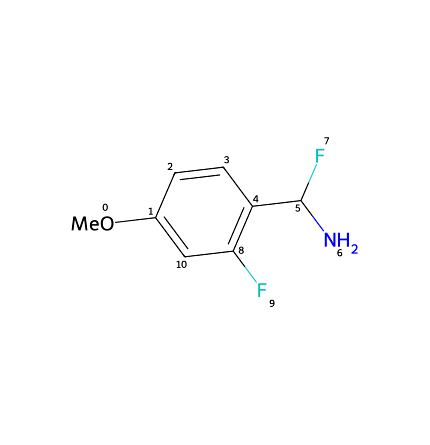 COc1ccc(C(N)F)c(F)c1